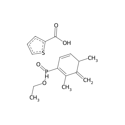 C=C1C(C)=C([PH](=O)OCC)C=CC1C.O=C(O)c1cccs1